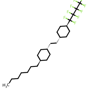 CCCCCCC[C@H]1CC[C@H](CC[C@H]2CC[C@H](C(F)(F)C(F)(F)C(F)(F)C(F)(F)F)CC2)CC1